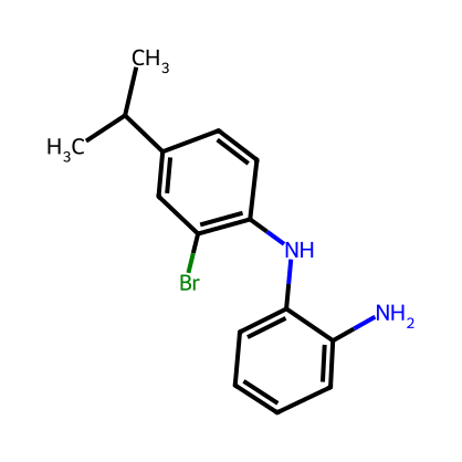 CC(C)c1ccc(Nc2ccccc2N)c(Br)c1